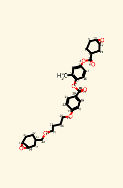 Cc1cc(OC(=O)C2CCC3OC3C2)ccc1OC(=O)c1ccc(OCCCCOCC2CCC3OC3C2)cc1